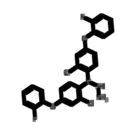 NNN(c1ccc(Oc2ccccc2F)cc1Cl)c1ccc(Oc2ccccc2F)cc1Cl